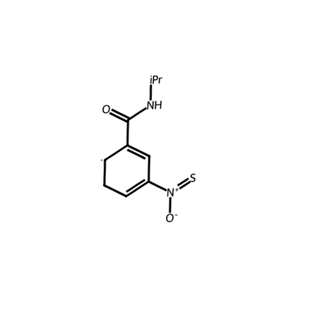 CC(C)NC(=O)C1=CC([N+]([O-])=S)=CC[CH]1